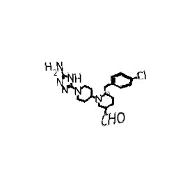 Nc1nnc(N2CCC(N3CC(C=O)CC[C@@H]3Cc3ccc(Cl)cc3)CC2)[nH]1